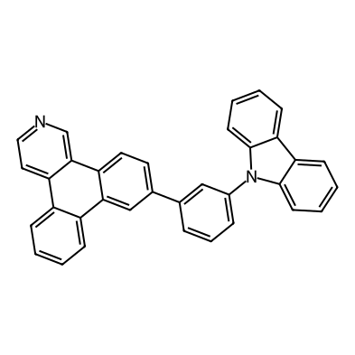 c1cc(-c2ccc3c4cnccc4c4ccccc4c3c2)cc(-n2c3ccccc3c3ccccc32)c1